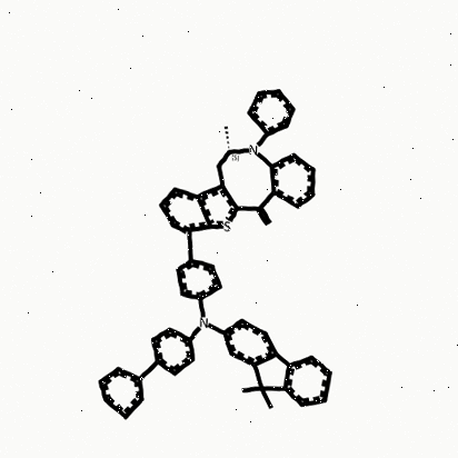 C=C1c2ccccc2N(c2ccccc2)[C@@H](C)Cc2c1sc1c(-c3ccc(N(c4ccc(-c5ccccc5)cc4)c4ccc5c(c4)C(C)(C)c4ccccc4-5)cc3)cccc21